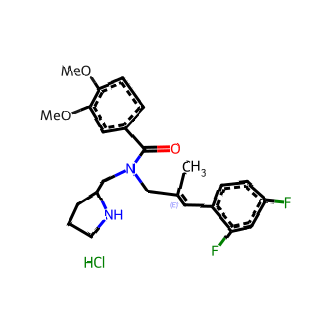 COc1ccc(C(=O)N(C/C(C)=C/c2ccc(F)cc2F)CC2CCCN2)cc1OC.Cl